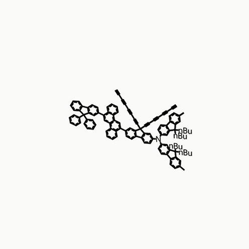 C#CC#CC#CC#CC1(C#CC#CC#CC#C)c2cc(-c3cc4c5ccccc5c(-c5ccc6c(c5)C(c5ccccc5)(c5ccccc5)c5ccccc5-6)cc4c4ccccc34)ccc2-c2ccc(N(c3ccc4c(c3)C(CCCC)(CCCC)c3cc(C)ccc3-4)c3ccc4c(c3)C(CCCC)(CCCC)c3cc(C)ccc3-4)cc21